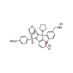 CCNCc1ccc(OCC)c(C2(N3CCC[C@H]3c3ncco3)C(=O)N(S(=O)(=O)c3ccc(OC)cc3)c3ccc(Cl)cc32)c1